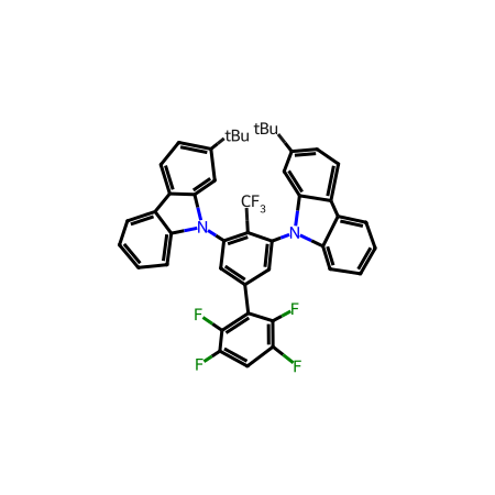 CC(C)(C)c1ccc2c3ccccc3n(-c3cc(-c4c(F)c(F)cc(F)c4F)cc(-n4c5ccccc5c5ccc(C(C)(C)C)cc54)c3C(F)(F)F)c2c1